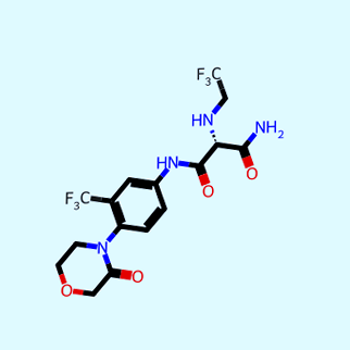 NC(=O)[C@@H](NCC(F)(F)F)C(=O)Nc1ccc(N2CCOCC2=O)c(C(F)(F)F)c1